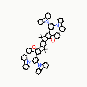 CC1(C)c2cc3c(cc2-c2c1cc(-c1cc(-n4c5ccccc5c5ccccc54)cc(-n4c5ccccc5c5ccccc54)c1)c1c2oc2ccccc21)C(C)(C)c1cc(-c2cc(-n4c5ccccc5c5ccccc54)cc(-n4c5ccccc5c5ccccc54)c2)c2c(oc4ccccc42)c1-3